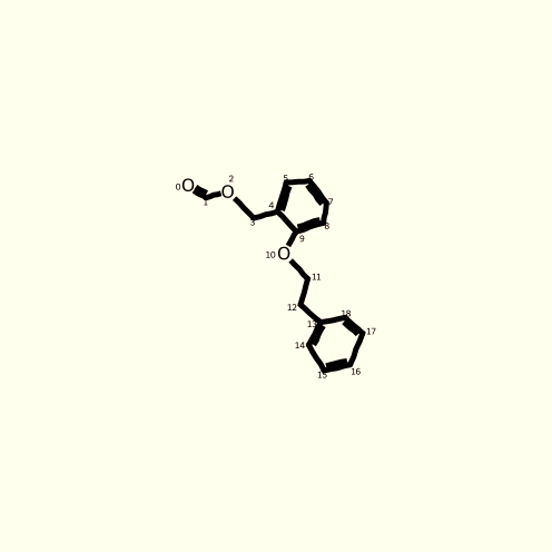 O=COCc1ccccc1OCCc1ccccc1